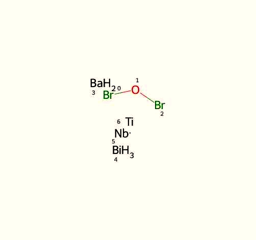 BrOBr.[BaH2].[BiH3].[Nb].[Ti]